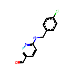 C=C(C=O)/C=C\C(=N/F)NCc1ccc(Cl)cc1